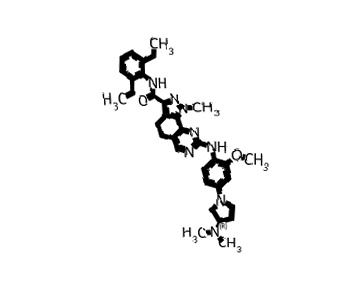 CCc1cccc(CC)c1NC(=O)c1nn(C)c2c1CCc1cnc(Nc3ccc(N4CC[C@@H](N(C)C)C4)cc3OC)nc1-2